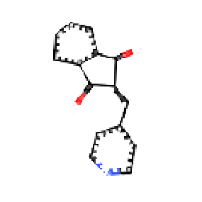 O=C1C(=Cc2ccncc2)C(=O)c2ccccc21